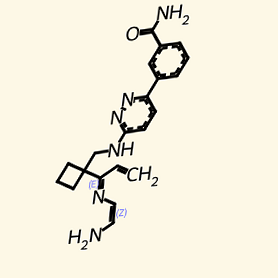 C=C/C(=N\C=C/N)C1(CNc2ccc(-c3cccc(C(N)=O)c3)nn2)CCC1